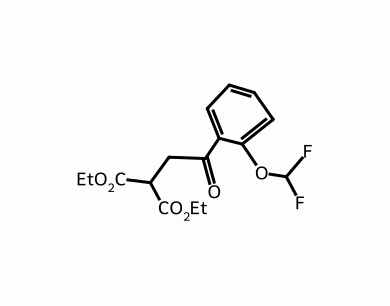 CCOC(=O)C(CC(=O)c1ccccc1OC(F)F)C(=O)OCC